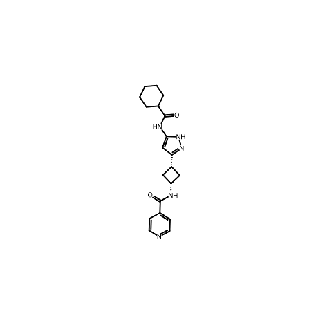 O=C(N[C@H]1C[C@@H](c2cc(NC(=O)C3CCCCC3)[nH]n2)C1)c1ccncc1